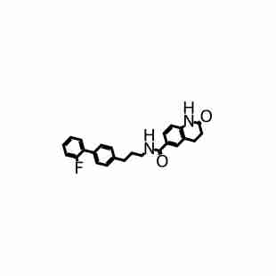 O=C1CCc2cc(C(=O)NCCCc3ccc(-c4ccccc4F)cc3)ccc2N1